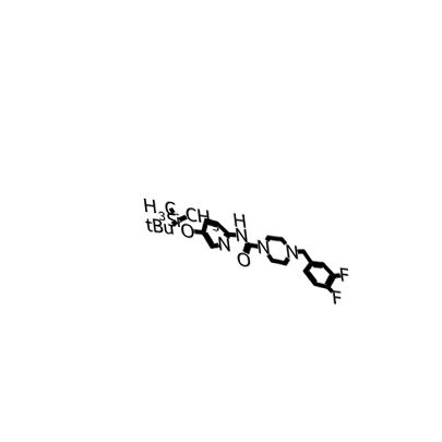 CC(C)(C)[Si](C)(C)Oc1ccc(NC(=O)N2CCN(Cc3ccc(F)c(F)c3)CC2)nc1